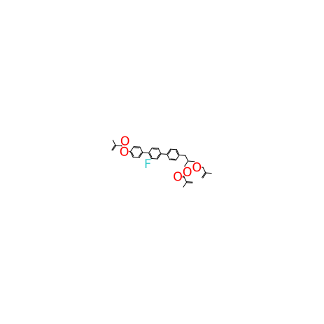 C=C(C)COCC(COC(=O)C(=C)C)Cc1ccc(-c2ccc(-c3ccc(OC(=O)C(=C)C)cc3)c(F)c2)cc1